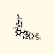 Cc1cc(Nc2nccc(OC(C)C)n2)cc(-c2cnc([C@]3(O)CC[C@@H](C(=O)O)CC3)s2)c1